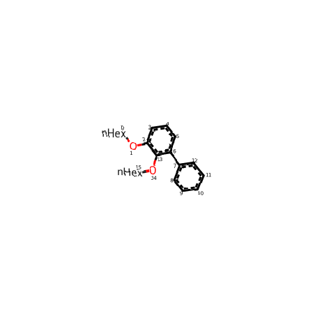 CCCCCCOc1cccc(-c2ccccc2)c1OCCCCCC